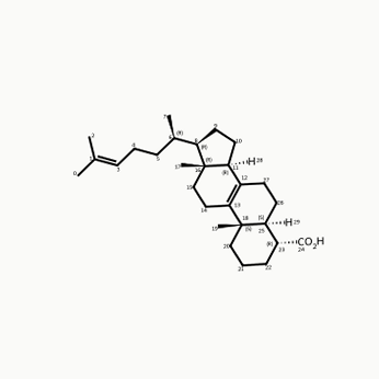 CC(C)=CCC[C@@H](C)[C@H]1CC[C@H]2C3=C(CC[C@]12C)[C@@]1(C)CCC[C@@H](C(=O)O)[C@@H]1CC3